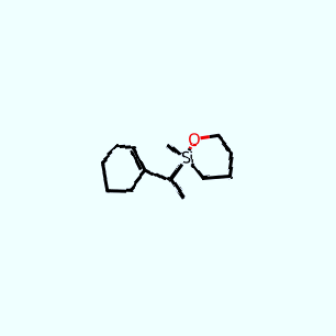 CC(C1=CCCCC1)[Si]1(C)CCCCO1